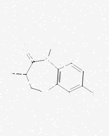 CC(C)N1C(=O)C(I)COc2cc(F)ccc21